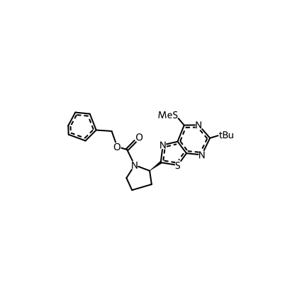 CSc1nc(C(C)(C)C)nc2sc([C@H]3CCCN3C(=O)OCc3ccccc3)nc12